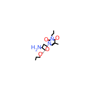 CCCOC[C@H]1O[C@@H](n2cc(C)c(=O)n(CCC)c2=O)CC1N